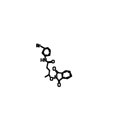 CC(CCC(=O)Nc1cccc(Br)c1)ON1C(=O)c2ccccc2C1=O